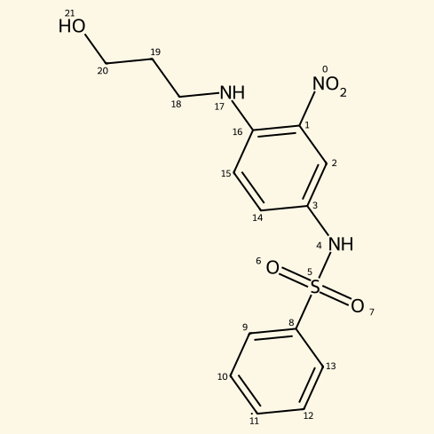 O=[N+]([O-])c1cc(NS(=O)(=O)c2cc[c]cc2)ccc1NCCCO